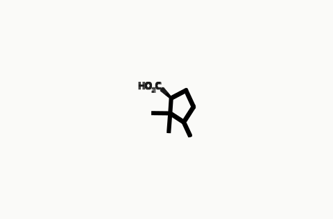 CC1CC[C@H](C(=O)O)C1(C)C